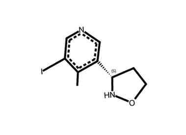 Cc1c(I)cncc1[C@@H]1CCON1